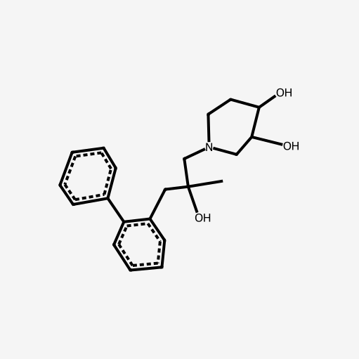 CC(O)(Cc1ccccc1-c1ccccc1)CN1CCC(O)C(O)C1